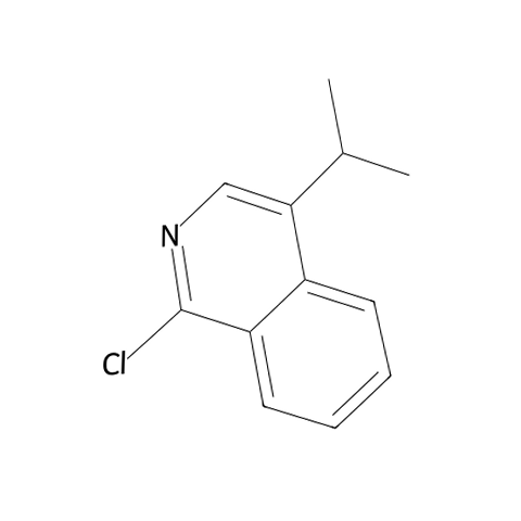 CC(C)c1cnc(Cl)c2ccccc12